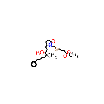 COC(=O)CCCSCCN1C(=O)CCC1CC[C@@H](O)[C@@H](C)CCCCc1ccccc1